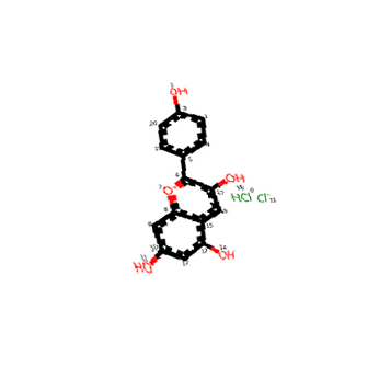 Cl.Oc1ccc(-c2[o+]c3cc(O)cc(O)c3cc2O)cc1.[Cl-]